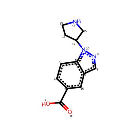 O=C(O)c1ccc2c(cnn2C2CCNC2)c1